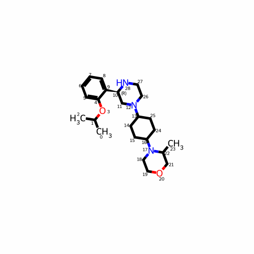 CC(C)Oc1ccccc1[C@@H]1CN(C2CCC(N3CCOCC3C)CC2)CCN1